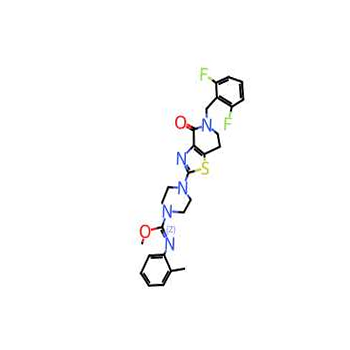 CO/C(=N\c1ccccc1C)N1CCN(c2nc3c(s2)CCN(Cc2c(F)cccc2F)C3=O)CC1